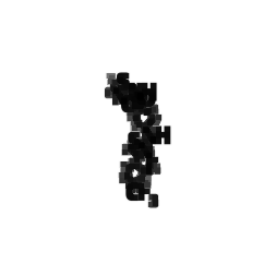 O=S(=O)(Nc1nccs1)c1ccc(Nc2nc(-c3ccc(C(F)(F)F)cc3F)cs2)cc1